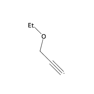 [C]#CCOCC